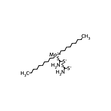 CCCCCCCCC[CH2][Mo+2][CH2]CCCCCCCCC.NC(=S)[S-].NC(=S)[S-]